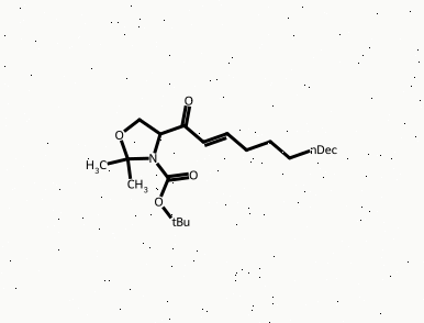 CCCCCCCCCCCCC/C=C/C(=O)C1COC(C)(C)N1C(=O)OC(C)(C)C